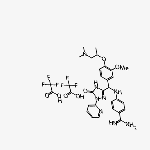 COc1cc(C(Nc2ccc(C(=N)N)cc2)c2nn(-c3ccccn3)c(=O)[nH]2)ccc1OC(C)CN(C)C.O=C(O)C(F)(F)F.O=C(O)C(F)(F)F